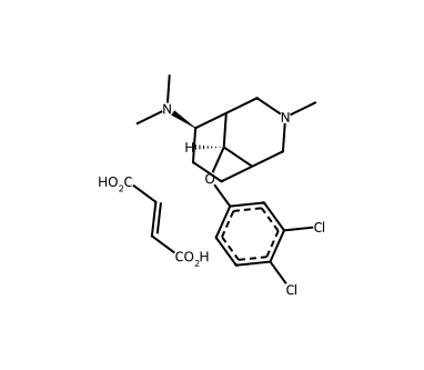 CN1CC2CC[C@@H](N(C)C)C(C1)[C@@H]2Oc1ccc(Cl)c(Cl)c1.O=C(O)/C=C/C(=O)O